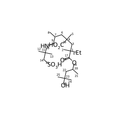 CCC(C)(CC(C)(CC(C)CNC(C)(C)CS(=O)(=O)O)C(=O)O)C(=O)OC(C)CC(C)(C)O